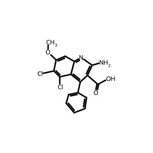 COc1cc2nc(N)c(C(=O)O)c(-c3ccccc3)c2c(Cl)c1Cl